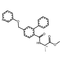 COC(=O)[C@H](C)NC(=O)c1ccc(COc2cccnc2)cc1-c1ccccc1